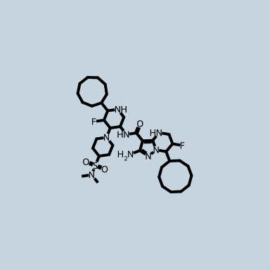 CN(C)S(=O)(=O)C1CCN(C2C(NC(=O)c3c(N)nn4c3NCC(F)C4C3CCCCCCCCC3)CNC(C3CCCCCCCC3)C2F)CC1